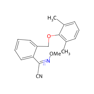 CO/N=C(/C#N)c1ccccc1COc1c(C)cccc1C